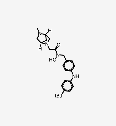 CN1C[C@@H]2C[C@H]1CN2CC(=O)N(O)Cc1ccc(Nc2ccc(C(C)(C)C)cc2)cc1